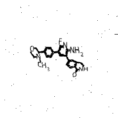 CCN1CCOCC1c1ccc(-c2cc(-c3ccc4c(c3)CCNC4=O)c(N)nc2F)cc1